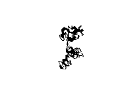 Cl.Cl.O=c1ccc2ncc(F)c3c2n1[C@H](CN1CCC(CO)(NCc2cc4c(cn2)OCCO4)CC1)CO3